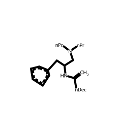 C=C(CCCCCCCCCC)NC(Cc1ccccc1)CN(CCC)CCC